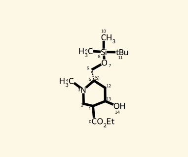 CCOC(=O)C1CN(C)[C@H](CO[Si](C)(C)C(C)(C)C)CC1O